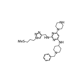 CSCCCn1cc(CNc2nc(NC3CCN(Cc4ccccc4)CC3)cc(N3CCNCC3)n2)nn1